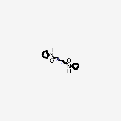 O=C(/C=C/C=C/C(=O)Nc1ccccc1)Nc1ccccc1